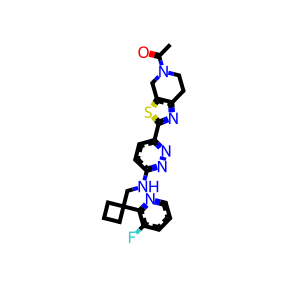 CC(=O)N1CCc2nc(-c3ccc(NCC4(c5ncccc5F)CCC4)nn3)sc2C1